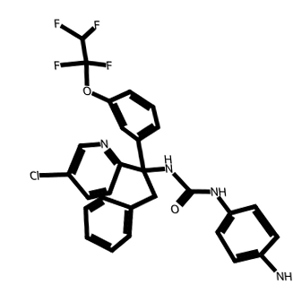 CC(=O)Nc1ccc(NC(=O)NC(Cc2ccccc2)(c2cccc(OC(F)(F)C(F)F)c2)c2ccc(Cl)cn2)cc1